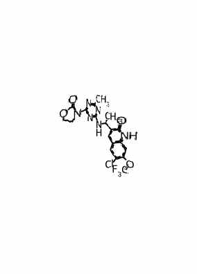 Cc1nc(N[C@@H](C)c2cc3cc(Cl)c(OC(F)(F)F)cc3[nH]c2=O)nc(N2CCOC2=O)n1